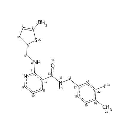 BC1=CCC(CNc2ncccc2C(=O)NCc2ccc(C)c(F)c2)S1